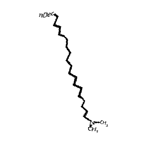 CCCCCCCCCCCCCCCCCCCCCCCCCCC[CH]N(C)C